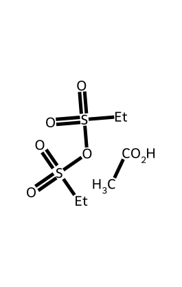 CC(=O)O.CCS(=O)(=O)OS(=O)(=O)CC